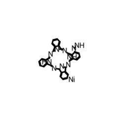 N=Nc1cccc2c3nc4nc(nc5[nH]c(nc6nc(nc([nH]3)c12)-c1ccccc1-6)c1ccccc51)-c1ccccc1-4.[Ni]